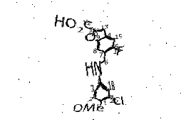 COc1ccc(NCc2cc3oc(C(=O)O)cc3cc2F)cc1Cl